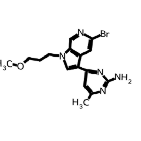 COCCCn1cc(-c2cc(C)nc(N)n2)c2cc(Br)ncc21